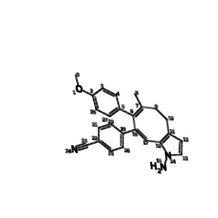 COc1ccc(C2=C(\C)CCc3ccn(N)c3/C=C\2c2ccc(C#N)cc2)cc1